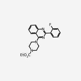 CCOC(=O)N1CCN(c2nc(-c3ccccc3F)nc3ccccc23)CC1